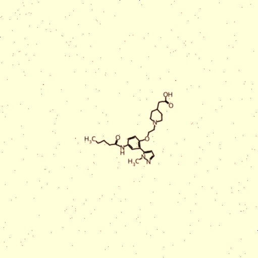 CCCCC(=O)Nc1ccc(OCCN2CCC(CC(=O)O)CC2)c(-c2ccnn2C)c1